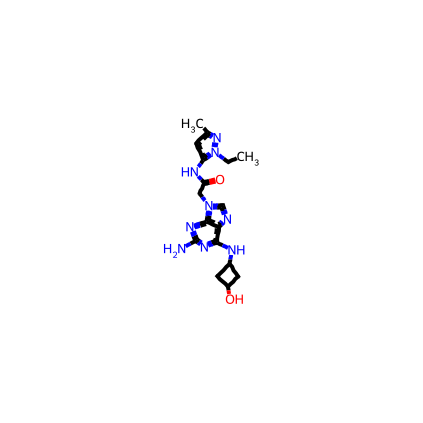 CCn1nc(C)cc1NC(=O)Cn1cnc2c(NC3CC(O)C3)nc(N)nc21